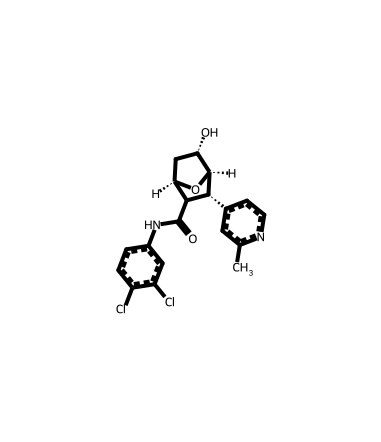 Cc1cc([C@@H]2C(C(=O)Nc3ccc(Cl)c(Cl)c3)[C@H]3C[C@H](O)[C@@H]2O3)ccn1